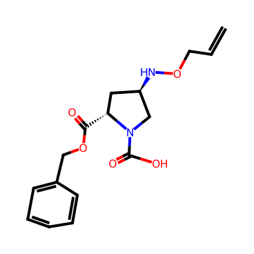 C=CCON[C@@H]1C[C@@H](C(=O)OCc2ccccc2)N(C(=O)O)C1